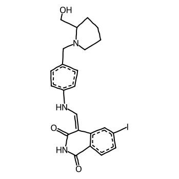 O=C1NC(=O)c2ccc(I)cc2/C1=C/Nc1ccc(CN2CCCCC2CO)cc1